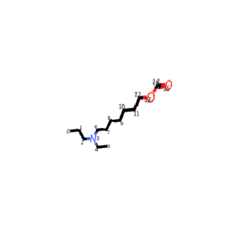 CCCN(CC)CCCCCCCO[C]=O